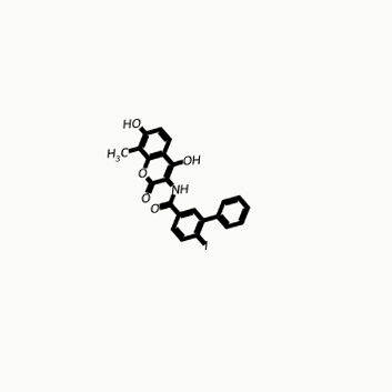 Cc1c(O)ccc2c(O)c(NC(=O)c3ccc(I)c(-c4ccccc4)c3)c(=O)oc12